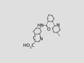 Cc1ccc(-c2ccccc2C(=O)Nc2ccc3cc(C(=O)O)cnc3c2)nc1